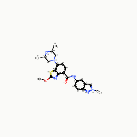 COc1nc2c(C(=O)Nc3ccc4nn(C)cc4c3)ccc(N3C[C@H](C)N[C@@H](C)C3)c2s1